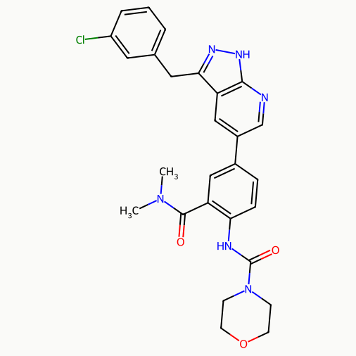 CN(C)C(=O)c1cc(-c2cnc3[nH]nc(Cc4cccc(Cl)c4)c3c2)ccc1NC(=O)N1CCOCC1